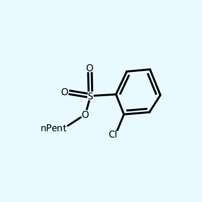 CCCCCOS(=O)(=O)c1ccccc1Cl